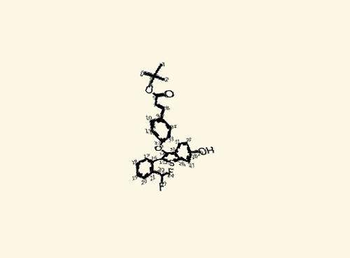 CC(C)(C)OC(=O)C=Cc1ccc(Oc2c(-c3ccccc3C(F)F)sc3cc(O)ccc23)cc1